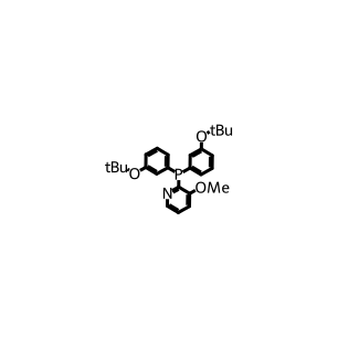 COc1cccnc1P(c1cccc(OC(C)(C)C)c1)c1cccc(OC(C)(C)C)c1